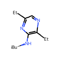 CCc1cnc(CC)c(N[C@H](C)CC)n1